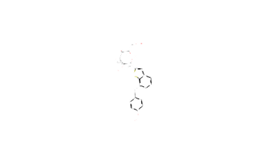 CCOc1ccc(Cc2cccc3cc([C@@H]4O[C@H](CO)[C@@H](O)[C@H](O)[C@H]4O)sc23)cc1